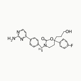 C[C@@H](c1ccc(-c2ccnc(N)n2)cc1)N1CCC(CCCO)(c2ccc(F)cc2)OC1=O